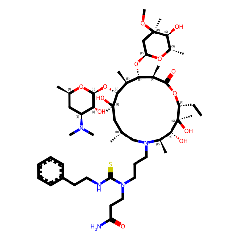 CC[C@H]1OC(=O)[C@H](C)[C@@H](O[C@H]2C[C@@](C)(OC)[C@@H](O)[C@H](C)O2)[C@H](C)[C@@H](O[C@@H]2O[C@H](C)C[C@H](N(C)C)[C@H]2O)[C@](C)(O)C[C@@H](C)CN(CCCN(CCC(N)=O)C(=S)NCCc2ccccc2)[C@H](C)[C@@H](O)[C@]1(C)O